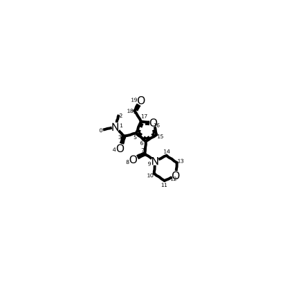 CN(C)C(=O)c1c(C(=O)N2CCOCC2)coc1[C]=O